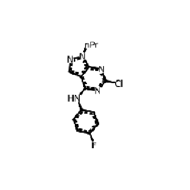 CCCn1ncc2c(Nc3ccc(F)cc3)nc(Cl)nc21